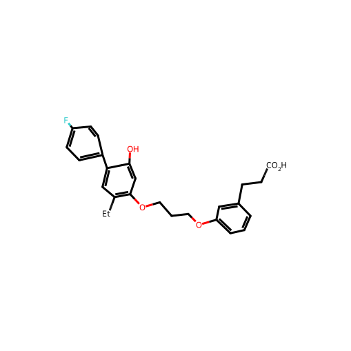 CCc1cc(-c2ccc(F)cc2)c(O)cc1OCCCOc1cccc(CCC(=O)O)c1